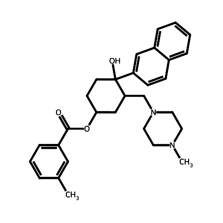 Cc1cccc(C(=O)OC2CCC(O)(c3ccc4ccccc4c3)C(CN3CCN(C)CC3)C2)c1